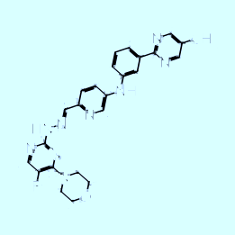 Cc1cnc(-c2cccc(Nc3ccc(/C=N/Nc4ncc(F)c(N5CCOCC5)n4)nc3)c2)nc1